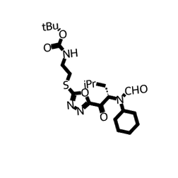 CC(C)C[C@@H](C(=O)c1nnc(SCCNC(=O)OC(C)(C)C)o1)N(C=O)C1CCCCC1